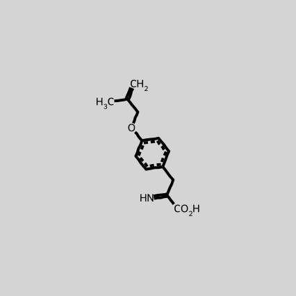 C=C(C)COc1ccc(CC(=N)C(=O)O)cc1